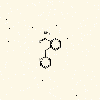 NC(=O)c1ccccc1Cc1ccccn1